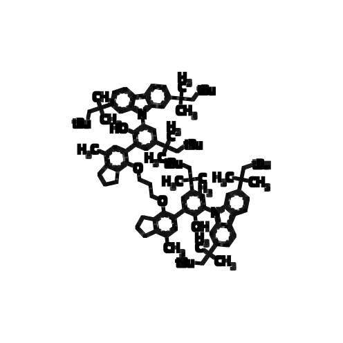 Cc1cc(-c2cc(C(C)(C)CC(C)(C)C)cc(-n3c4cc(C(C)(C)CC(C)(C)C)ccc4c4ccc(C(C)(C)CC(C)(C)C)cc43)c2O)c(OCCCOc2c(-c3cc(C(C)(C)CC(C)(C)C)cc(-n4c5cc(C(C)(C)CC(C)(C)C)ccc5c5ccc(C(C)(C)CC(C)(C)C)cc54)c3O)cc(C)c3c2CCC3)c2c1CCC2